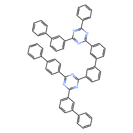 c1ccc(-c2ccc(-c3nc(-c4cccc(-c5ccccc5)c4)nc(-c4cccc(-c5cccc(-c6nc(-c7ccccc7)nc(-c7cccc(-c8ccccc8)c7)n6)c5)c4)n3)cc2)cc1